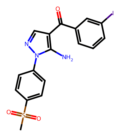 CS(=O)(=O)c1ccc(-n2ncc(C(=O)c3cccc(I)c3)c2N)cc1